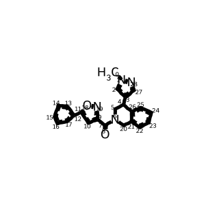 Cn1cc(C2CN(C(=O)c3cc(-c4ccccc4)on3)Cc3ccccc32)cn1